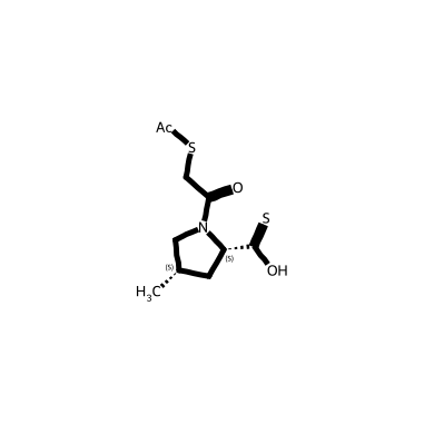 CC(=O)SCC(=O)N1C[C@@H](C)C[C@H]1C(O)=S